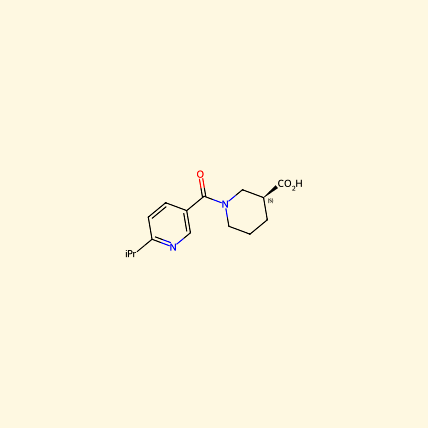 CC(C)c1ccc(C(=O)N2CCC[C@H](C(=O)O)C2)cn1